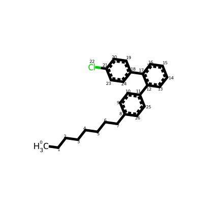 CCCCCCCCc1ccc(-c2ccc[c]c2-c2ccc(Cl)cc2)cc1